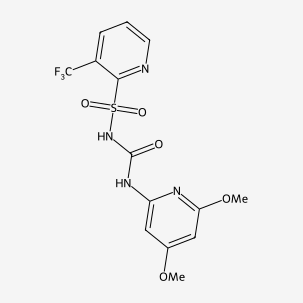 COc1cc(NC(=O)NS(=O)(=O)c2ncccc2C(F)(F)F)nc(OC)c1